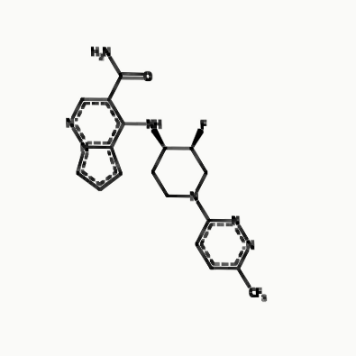 NC(=O)c1cnn2cccc2c1N[C@@H]1CCN(c2ccc(C(F)(F)F)nn2)C[C@@H]1F